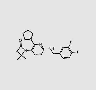 CC1(C)CC(=O)N1c1ccc(NCc2ccc(F)c(F)c2)nc1N1CCCC1